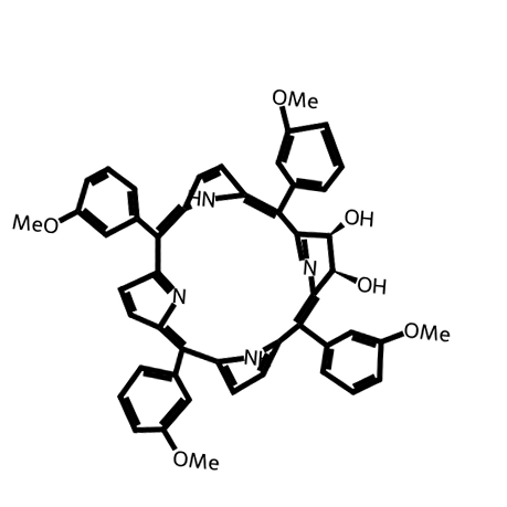 COc1cccc(-c2c3nc(c(-c4cccc(OC)c4)c4ccc([nH]4)c(-c4cccc(OC)c4)c4nc(c(-c5cccc(OC)c5)c5ccc2[nH]5)[C@@H](O)[C@H]4O)C=C3)c1